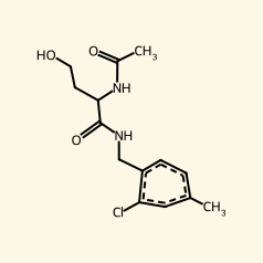 CC(=O)NC(CCO)C(=O)NCc1ccc(C)cc1Cl